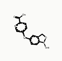 O=C(O)c1ccc(Oc2ccc3c(c2)COB3O)cn1